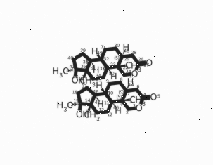 C[C@]12COC(=O)C[C@@H]1CC[C@@H]1[C@@H]2CC[C@@]2(C)[C@H]1CC[C@]2(C)O.C[C@]12COC(=O)C[C@@H]1CC[C@@H]1[C@@H]2CC[C@@]2(C)[C@H]1CC[C@]2(C)O